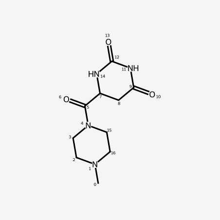 CN1CCN(C(=O)C2CC(=O)NC(=O)N2)CC1